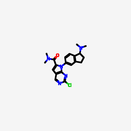 CN(C)C(=O)c1cc2cnc(Cl)nc2n1-c1ccc2c(c1)CCC2N(C)C